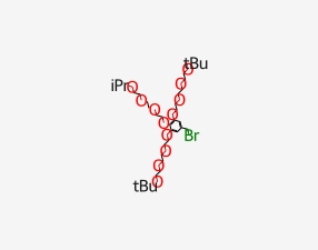 CC(C)OCCOCCOCCOc1c(OCCOCCOCCOC(C)(C)C)cc(CBr)cc1OCCOCCOCCOC(C)(C)C